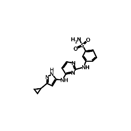 NS(=O)(=O)c1cccc(Nc2nccc(Nc3cc(C4CC4)n[nH]3)n2)c1